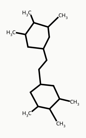 CC1CC(CCC2CC(C)C(C)C(C)C2)CC(C)C1C